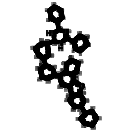 c1ccc(C2=NC(c3ccccc3)NC(c3cccc(-c4cccc(-c5cc6c7ccc(-c8ccccc8)cc7oc6c6ccccc56)c4)c3)N2)cc1